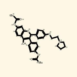 CC1=C(c2ccc(OC(=O)C(C)(C)C)cc2)C(c2ccc(OCCN3CCCC3)cc2)Oc2cc(OC(=O)C(C)(C)C)ccc21